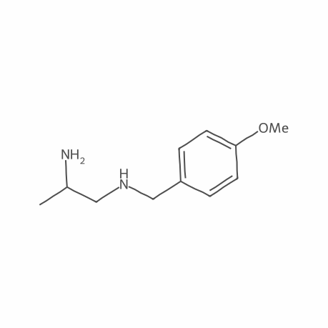 COc1ccc(CNCC(C)N)cc1